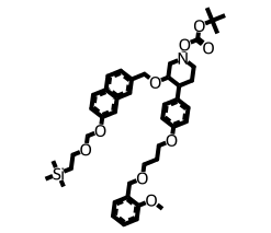 COc1ccccc1COCCCOc1ccc(C2CCN(OC(=O)OC(C)(C)C)CC2OCc2ccc3ccc(OCOCC[Si](C)(C)C)cc3c2)cc1